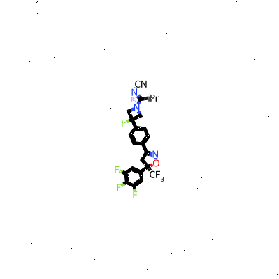 CC(C)/C(=N\C#N)N1CC(F)(c2ccc(C3=NOC(c4cc(F)c(F)c(F)c4)(C(F)(F)F)C3)cc2)C1